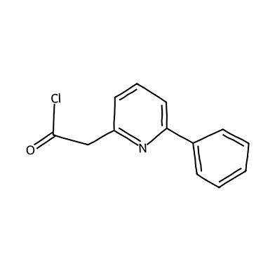 O=C(Cl)Cc1cccc(-c2ccccc2)n1